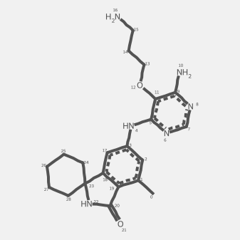 Cc1cc(Nc2ncnc(N)c2OCCCN)cc2c1C(=O)NC21CCCCC1